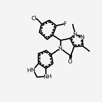 Cc1nn(C)c2c1C(=O)N(c1ccc3c(c1)NCN3)C2c1ccc(Cl)cc1F